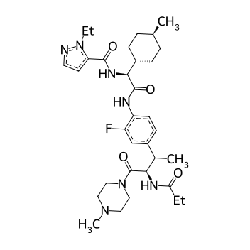 CCC(=O)N[C@@H](C(=O)N1CCN(C)CC1)C(C)c1ccc(NC(=O)[C@@H](NC(=O)c2ccnn2CC)[C@H]2CC[C@H](C)CC2)c(F)c1